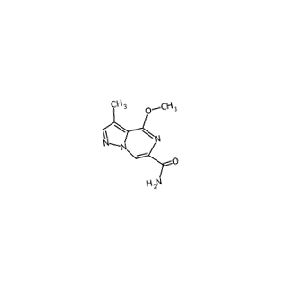 COc1nc(C(N)=O)cn2ncc(C)c12